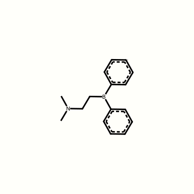 CN(C)CCB(c1cc[c]cc1)c1ccccc1